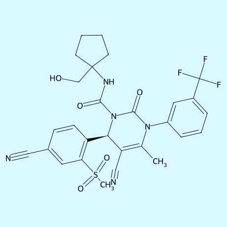 CC1=C(C#N)[C@@H](c2ccc(C#N)cc2S(C)(=O)=O)N(C(=O)NC2(CO)CCCC2)C(=O)N1c1cccc(C(F)(F)F)c1